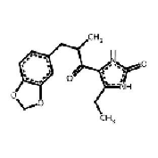 CCc1[nH]c(=O)[nH]c1C(=O)C(C)Cc1ccc2c(c1)OCO2